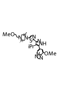 COCCN1C[C@@H](C)N(c2cnc(-c3n[nH]c(-c4cc(OC)c5ncnn5c4)c3C(C)C)s2)C[C@@H]1C